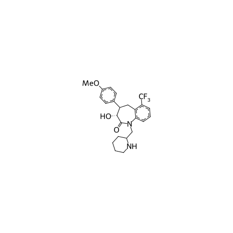 COc1ccc(C2Cc3c(cccc3C(F)(F)F)N(CC3CCCCN3)C(=O)[C@@H]2O)cc1